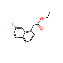 CCOC(=O)Cc1cccc2ccc(F)cc12